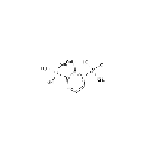 COc1c([Si](C)(C)Cl)cccc1[Si](C)(C)C(C)(C)C